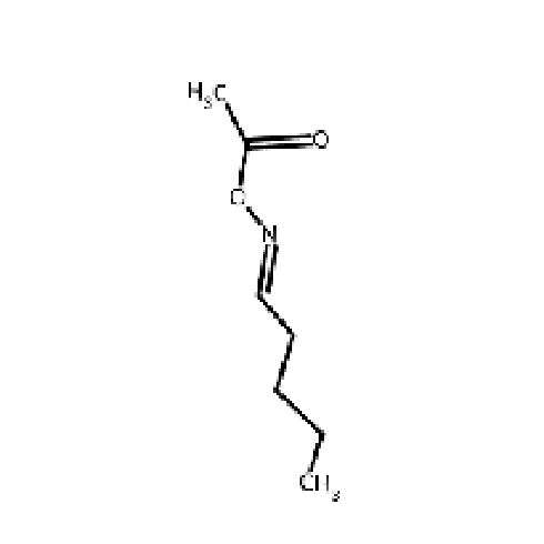 CCCC/C=N/OC(C)=O